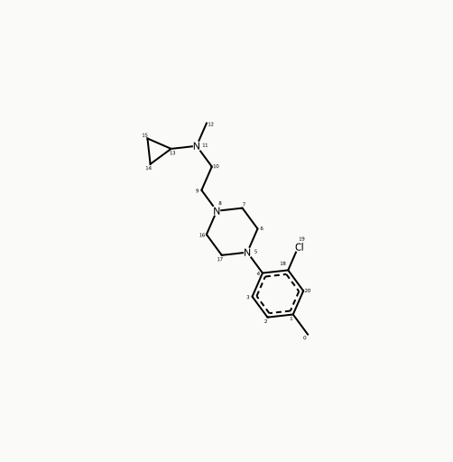 Cc1ccc(N2CCN(CCN(C)C3CC3)CC2)c(Cl)c1